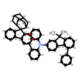 CC1(C)c2cc(N(c3ccccc3)c3ccccc3-c3ccc4c(c3)-c3ccccc3C43C4CC5CC(C4)CC3C5)ccc2-c2c(-c3ccccc3)cccc21